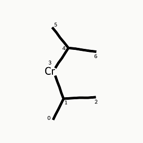 C[CH](C)[Cr][CH](C)C